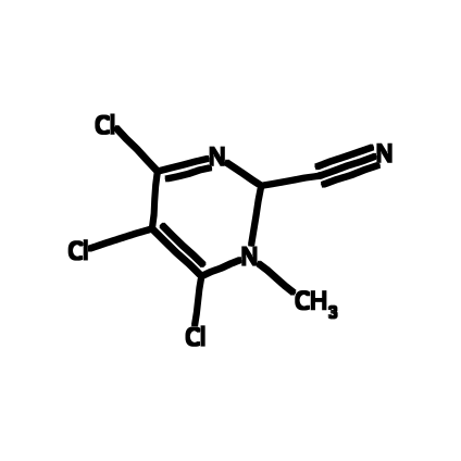 CN1C(Cl)=C(Cl)C(Cl)=NC1C#N